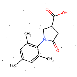 Cc1cc(C)c(N2CC(C(=O)O)CC2=O)c(C)c1